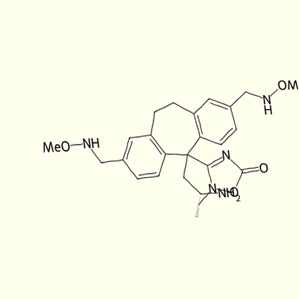 CONCc1ccc2c(c1)CCc1cc(CNOC)ccc1C2(C[C@@H](C)N)c1nc(=O)on1C